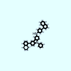 c1ccc(-n2c3ccc(Nc4ccc(-c5cccc6ccccc56)cc4)cc3c3cc(-c4cccc5c4CCCC5)ccc32)cc1